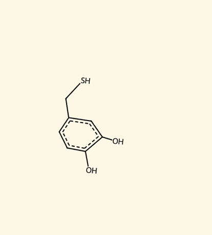 Oc1ccc(CS)cc1O